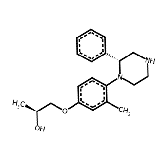 Cc1cc(OC[C@H](C)O)ccc1N1CCNC[C@H]1c1ccccc1